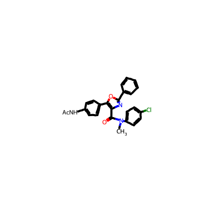 CC(=O)Nc1ccc(-c2oc(-c3ccccc3)nc2C(=O)N(C)c2ccc(Cl)cc2)cc1